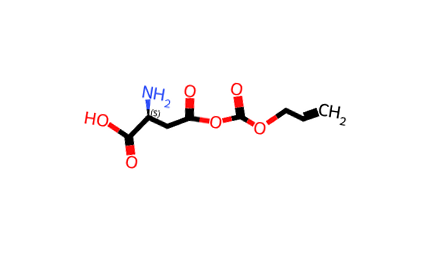 C=CCOC(=O)OC(=O)C[C@H](N)C(=O)O